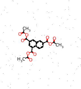 CC(=O)OC(=O)c1ccc2c(C(=O)OC(C)=O)cc(C(=O)OC(C)=O)cc2c1